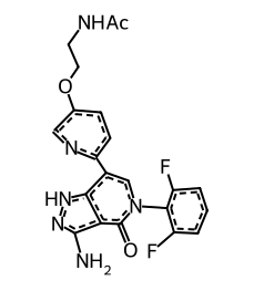 CC(=O)NCCOc1ccc(-c2cn(-c3c(F)cccc3F)c(=O)c3c(N)n[nH]c23)nc1